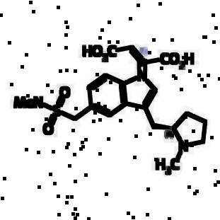 CNS(=O)(=O)Cc1ccc2[nH]cc(C[C@H]3CCCN3C)c2c1.O=C(O)/C=C/C(=O)O